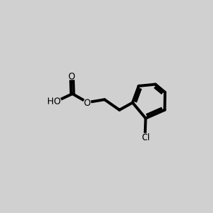 O=C(O)OCCc1ccccc1Cl